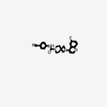 N#Cc1ccc(NC(=O)N2CCC3(CC2)CN(c2ccnc4ccc(F)cc24)C3)cc1